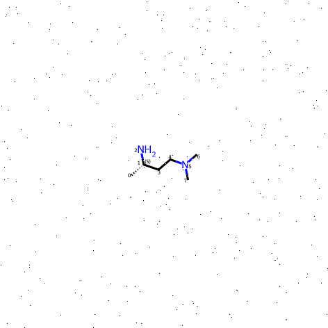 C[C@H](N)CCN(C)C